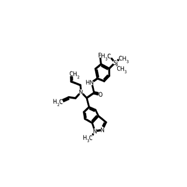 C=CCN(CC=C)C(C(=O)Nc1ccc([Si](C)(C)C)c(F)c1)c1ccc2c(cnn2C)c1